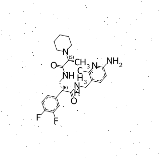 Cc1nc(N)ccc1CNC(=O)[C@@H](CNC(=O)[C@H](C)N1CCCCC1)c1ccc(F)c(F)c1